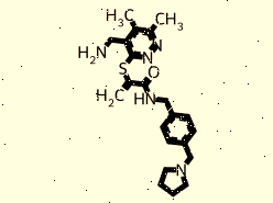 C=C(Sc1nnc(C)c(C)c1CN)C(=O)NCc1ccc(CN2CCCC2)cc1